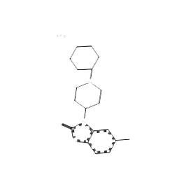 CO[C@H]1CC[C@](C)(N2CCC(n3c(=O)oc4ccc(C)cc43)CC2)CC1.Cl